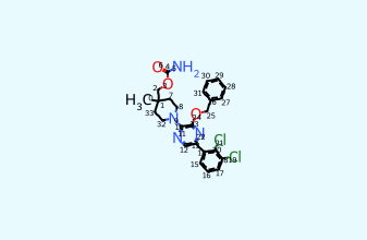 CC1(COC(N)=O)CCN(c2ncc(-c3cccc(Cl)c3Cl)nc2OCc2ccccc2)CC1